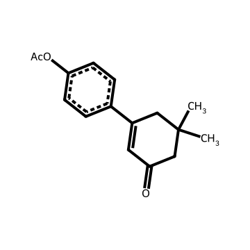 CC(=O)Oc1ccc(C2=CC(=O)CC(C)(C)C2)cc1